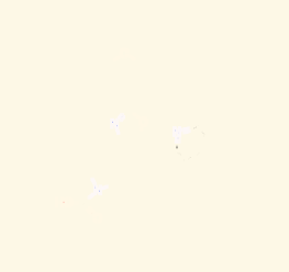 O=C(O)N1CCC(C2N=C(C3CCOCC3)OC2Sc2ccc(Cl)cn2)CC1